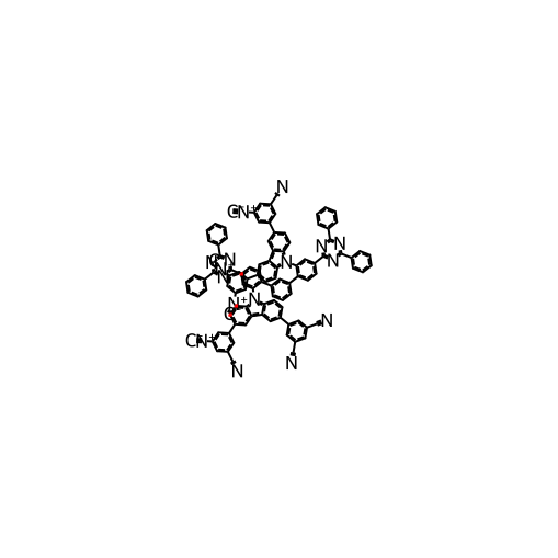 [C-]#[N+]c1cc(C#N)cc(-c2ccc3c(c2)c2cc(-c4cc(C#N)cc(C#N)c4)ccc2n3-c2cc(-c3nc(-c4ccccc4)nc(-c4ccccc4)n3)ccc2-c2cccc(-c3ccc(-c4nc(-c5ccccc5)nc(-c5ccccc5)n4)cc3-n3c4ccc(-c5cc(C#N)cc([N+]#[C-])c5)cc4c4cc(-c5cc([N+]#[C-])cc([N+]#[C-])c5)ccc43)c2)c1